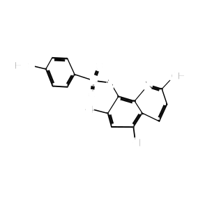 Cc1ccc(S(=O)(=O)Nc2c(Cl)cc(Cl)c3ccc(C)nc23)cc1